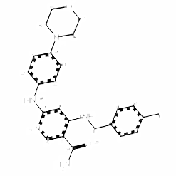 Cc1ccc(CNc2cc(Nc3ccc(N4CCOCC4)cc3)ncc2C(N)=O)cc1